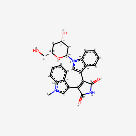 Cn1cc(C2=C(c3cn([C@@H]4C[C@@H](O)C[C@@H](CO)O4)c4ccccc34)C(=O)NC2=O)c2ccccc21